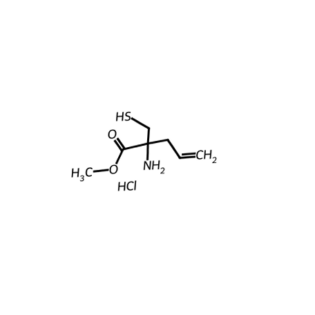 C=CCC(N)(CS)C(=O)OC.Cl